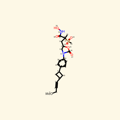 COCC#CC1CC(c2ccc(N3CC(CC(C)(C(=O)NO)S(C)(=O)=O)OC3=O)cc2)C1